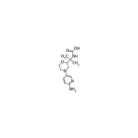 CC(C)(NC(=O)O)C1CN(c2ccc(N)nc2)CCO1